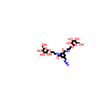 [N-]=[N+]=NCc1cc(C(=O)NCCCO[C@H]2O[C@H](CO)[C@@H](O)[C@H](O)[C@@H]2O)cc(C(=O)NCCCO[C@H]2O[C@H](CO)[C@@H](O)[C@H](O)[C@@H]2O)c1